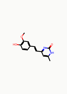 COc1cc(C=Cc2cc(C)[nH]c(=O)n2)ccc1O